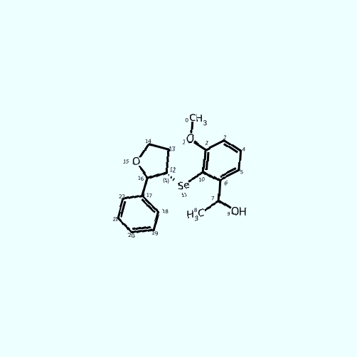 COc1cccc(C(C)O)c1[Se][C@H]1CCOC1c1ccccc1